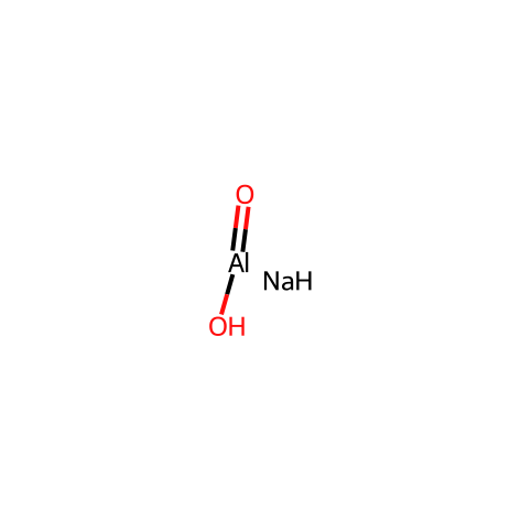 [NaH].[O]=[Al][OH]